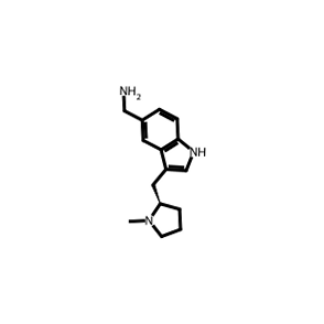 CN1CCC[C@@H]1Cc1c[nH]c2ccc(CN)cc12